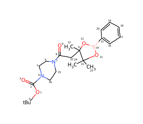 CC(C)(C)OC(=O)N1CCN(C(=O)CC2(C)OB(c3ccccc3)OC2(C)C)CC1